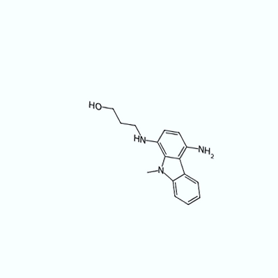 Cn1c2ccccc2c2c(N)ccc(NCCCO)c21